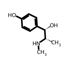 CN[C@@H](C)[C@@H](O)c1ccc(O)cc1